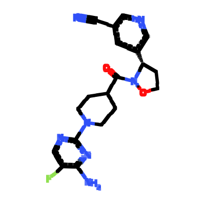 N#Cc1cncc([C@@H]2CCON2C(=O)C2CCN(c3ncc(F)c(N)n3)CC2)c1